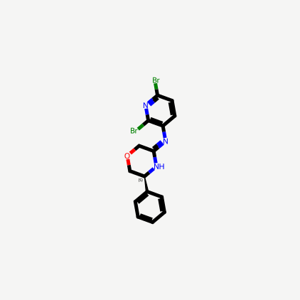 Brc1ccc(N=C2COC[C@H](c3ccccc3)N2)c(Br)n1